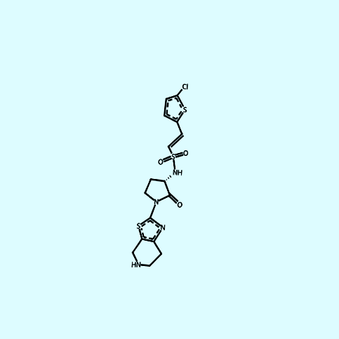 O=C1[C@@H](NS(=O)(=O)/C=C/c2ccc(Cl)s2)CCN1c1nc2c(s1)CNCC2